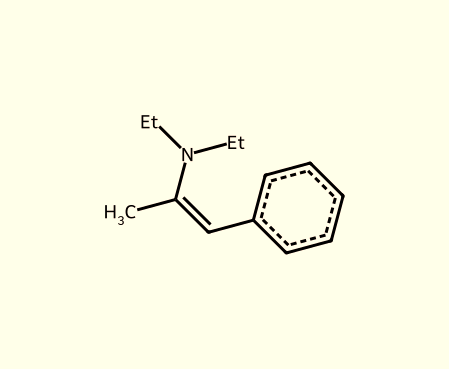 CCN(CC)C(C)=Cc1ccccc1